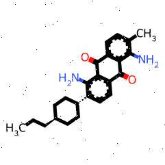 CCC[C@H]1CC[C@H](c2ccc3c(c2N)C(=O)c2ccc(C)c(N)c2C3=O)CC1